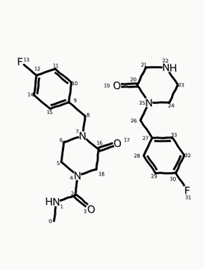 CNC(=O)N1CCN(Cc2ccc(F)cc2)C(=O)C1.O=C1CNCCN1Cc1ccc(F)cc1